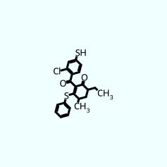 CCC1CC(C)C(Sc2ccccc2)=C(C(=O)c2ccc(S)cc2Cl)C1=O